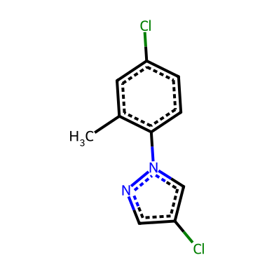 Cc1cc(Cl)ccc1-n1cc(Cl)cn1